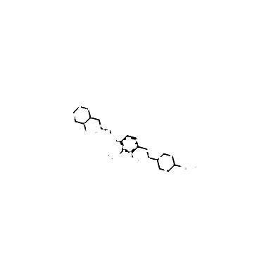 CCCCCC1CCC(CCc2ccc(OCCCC3CCCCC3CCCCC)c(C#N)c2C#N)CC1